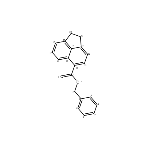 O=C(OCc1ccccc1)c1ccc2c3c(cccc13)CC2